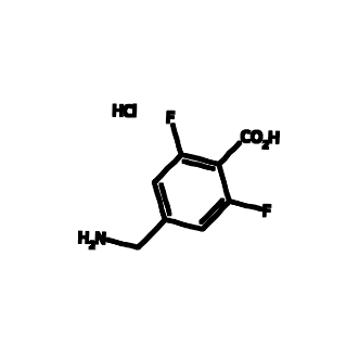 Cl.NCc1cc(F)c(C(=O)O)c(F)c1